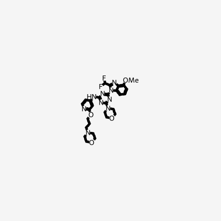 COc1cccc2c1nc(C(F)F)n2-c1nc(Nc2ccnc(OCCCN3CCOCC3)c2)nc(N2CCOCC2)n1